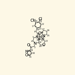 O=C(CN1CCN(C(=O)Cc2ccc(Cl)c(Cl)c2)[C@H]2C1COC[C@@H]2N1CCCC1)c1ccon1